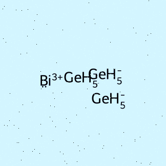 [Bi+3].[GeH5-].[GeH5-].[GeH5-]